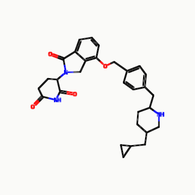 O=C1CCC(N2Cc3c(OCc4ccc(CC5CCC(CC6CC6)CN5)cc4)cccc3C2=O)C(=O)N1